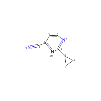 N#Cc1ccnc(C2CC2)n1